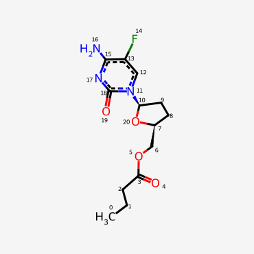 CCCC(=O)OC[C@@H]1CC[C@H](n2cc(F)c(N)nc2=O)O1